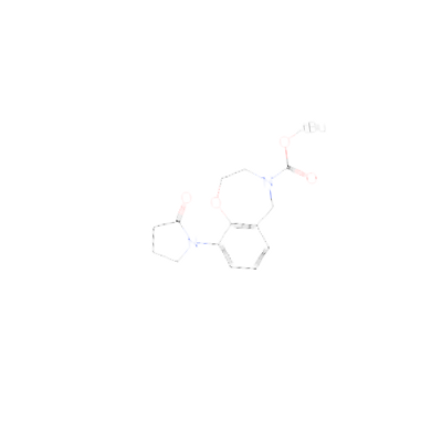 CC(C)(C)OC(=O)N1CCOc2c(cccc2N2CCCC2=O)C1